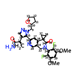 C=C(C(N)=O)c1cnn(C[C@@H]2CCCO2)c1-c1cc2c(cn1)CN(c1c(F)c(OC)cc(OC)c1F)C(=O)C21CC1